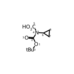 CC(C)(C)OC(=O)N(C(=O)O)C1CC1